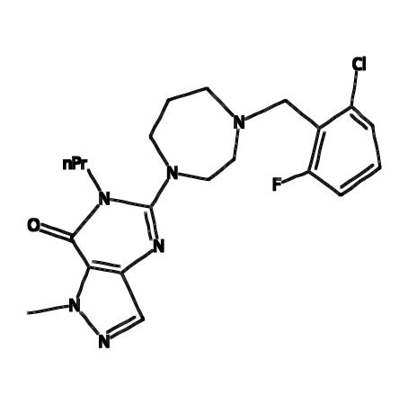 CCCn1c(N2CCCN(Cc3c(F)cccc3Cl)CC2)nc2cnn(C)c2c1=O